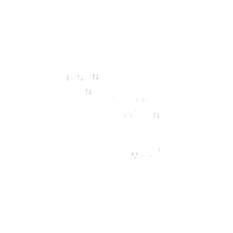 COC(=O)c1ccc2c(C(C)(c3ccc(-c4cnc(N)nc4)cc3)C(C)C)c[nH]c2c1